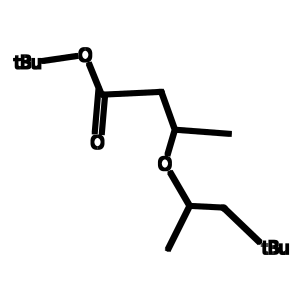 CC(CC(=O)OC(C)(C)C)OC(C)CC(C)(C)C